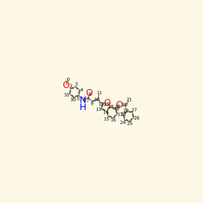 COc1ccc(NC(=O)/C=C(\C)c2cc3cccc(OC(C)c4ccccc4)c3o2)cc1